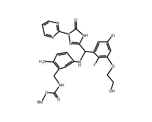 CCc1cc(OCCO)c(F)c(C(Nc2ccc(N)c(CNC(=O)OC(C)(C)C)c2)c2nn(-c3ncccn3)c(=O)[nH]2)c1